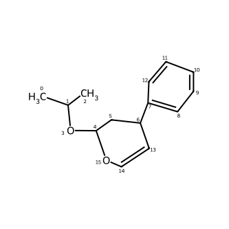 CC(C)OC1CC(c2ccccc2)C=CO1